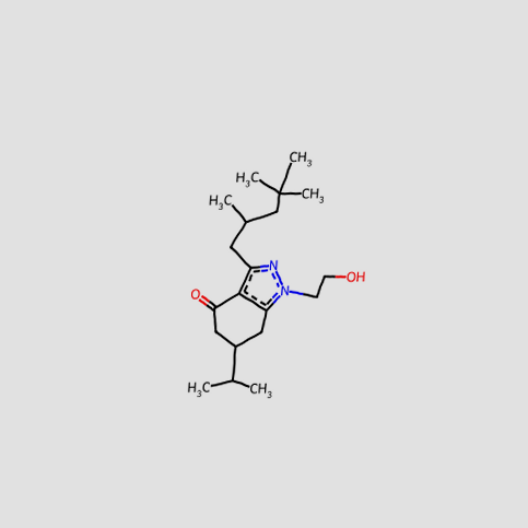 CC(Cc1nn(CCO)c2c1C(=O)CC(C(C)C)C2)CC(C)(C)C